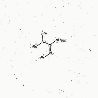 CCCCCCC/C(=N/CCC)N(CCC)CCCC